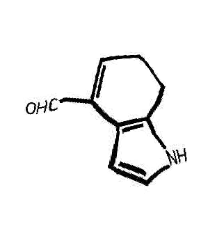 O=CC1=CCCc2[nH]ccc21